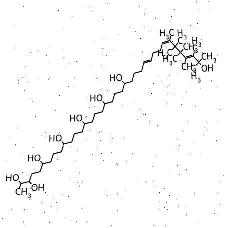 CC(=CCCC=CCCCC(O)CCCC(O)CCCC(O)CCCC(O)CCCC(O)CCC(O)C(C)O)C(C)(C)C(C)(C)C(C)=C(C)C(C)(C)O